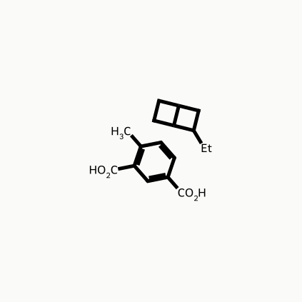 CCC1CC2CCC12.Cc1ccc(C(=O)O)cc1C(=O)O